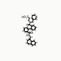 O=C(O)CCN(Cc1cccnc1)C(=O)c1ccccc1-c1ccccc1C(=O)NCc1cccc2ccccc12